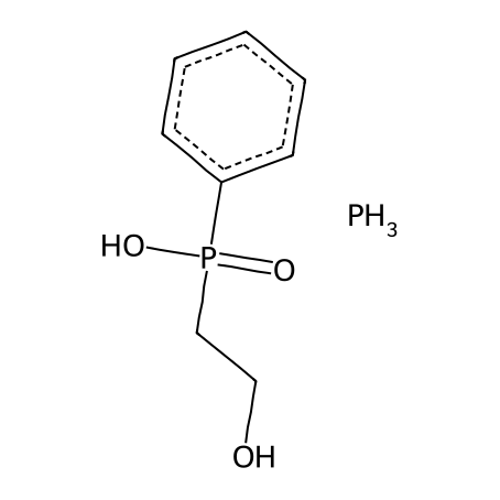 O=P(O)(CCO)c1ccccc1.P